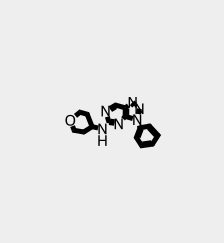 c1ccc(-n2nnc3cnc(NC4CCOCC4)nc32)cc1